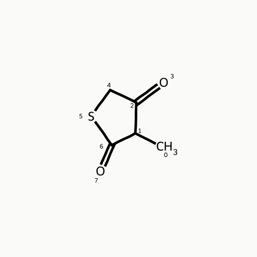 CC1C(=O)CSC1=O